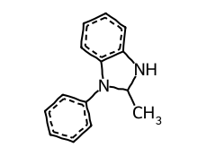 CC1Nc2ccccc2N1c1ccccc1